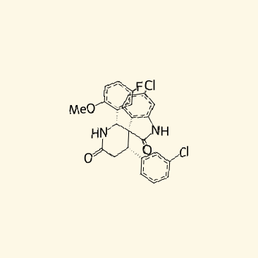 COc1ccc(F)cc1[C@H]1NC(=O)C[C@@H](c2cccc(Cl)c2)[C@]12C(=O)Nc1cc(Cl)ccc12